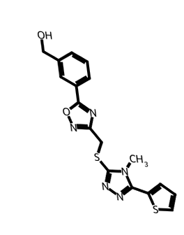 Cn1c(SCc2noc(-c3cccc(CO)c3)n2)nnc1-c1cccs1